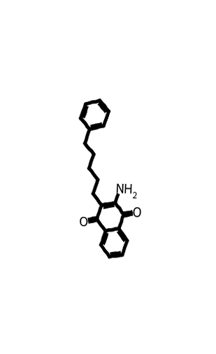 NC1=C(CCCCCc2ccccc2)C(=O)c2ccccc2C1=O